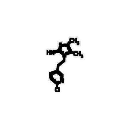 Cc1sc(=N)n(CCc2ccc(Cl)nc2)c1C